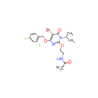 CC(=O)NCCOc1nc(OCc2ccc(F)cc2F)c(Br)c(=O)n1C(C)C